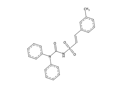 Cc1cccc(/C=C/S(=O)(=O)NC(=O)N(c2ccccc2)c2ccccc2)c1